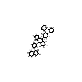 c1ccc(-c2ccccc2-c2cccc(-c3c4ccccc4c(-c4cccc(-c5ccnc6ccccc56)c4)c4ccccc34)c2)cc1